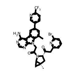 Cc1cc(-c2ccc(C(F)(F)F)nc2)cc2c3c(N)ncnc3n(CC(=O)N3C4C[C@]4(C)C[C@H]3C(=O)Cc3cccc(Br)n3)c12